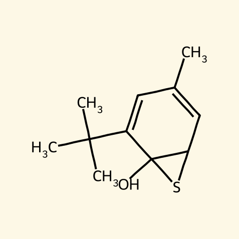 CC1=CC2SC2(O)C(C(C)(C)C)=C1